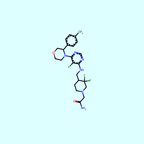 NC(=O)CN1CCC(CNc2ncnc(N3CCOCC3c3ccc(C(F)(F)F)cc3)c2F)C(F)(F)C1